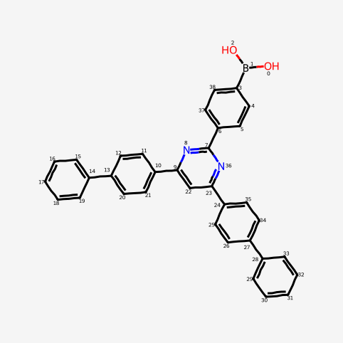 OB(O)c1ccc(-c2nc(-c3ccc(-c4ccccc4)cc3)cc(-c3ccc(-c4ccccc4)cc3)n2)cc1